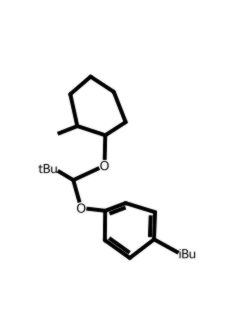 CCC(C)c1ccc(OC(OC2CCCCC2C)C(C)(C)C)cc1